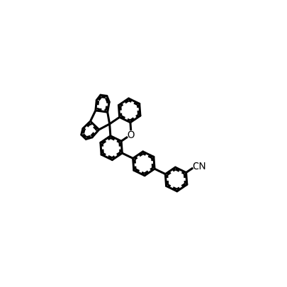 N#Cc1cccc(-c2ccc(-c3cccc4c3Oc3ccccc3C43c4ccccc4-c4ccccc43)cc2)c1